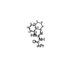 CCCC(=O)NC1=NC2CCCc3cccc(c32)N1